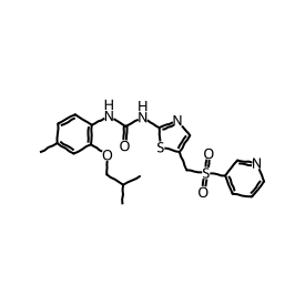 Cc1ccc(NC(=O)Nc2ncc(CS(=O)(=O)c3cccnc3)s2)c(OCC(C)C)c1